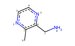 Cc1nccnc1CN